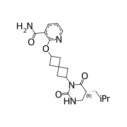 CC(C)C[C@@H]1CNC(=O)N(C2CC3(CC(Oc4ncccc4C(N)=O)C3)C2)C1=O